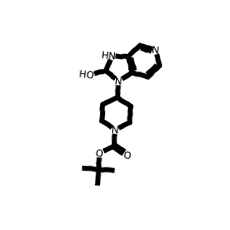 CC(C)(C)OC(=O)N1CCC(N2c3ccncc3NC2O)CC1